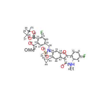 CCNC(=O)c1c(-c2ccc(F)cc2)oc2cc(N(Cc3cc(F)c(B4OC(C)(C)C(C)(C)O4)c(C(=O)OC)c3)S(C)(=O)=O)c(C3CC3)cc12